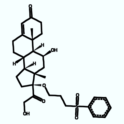 C[C@]12CCC(=O)C=C1CC[C@@H]1[C@@H]2[C@@H](O)C[C@@]2(C)[C@H]1CC[C@]2(OCCCS(=O)(=O)c1ccccc1)C(=O)CO